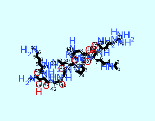 CC(C)NCCCC[C@H](NC(=O)[C@H](Cc1cnc[nH]1)NC(=O)[C@@H]1CCCN1C(=O)[C@@H](CCCN)NC(=O)CNC(=O)[C@H](C)NC(=O)[C@@H](NC(=O)[C@@H](N)CCCCN)[C@@H](O)CN)C(=O)N[C@H](CCCNC(=N)N)C(N)=O